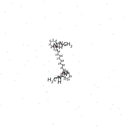 C=CNC1=C2CCCC(=CC1)N2CCCCCCCCCCCCN1C2=CCCC(NC=C)=C1CC2